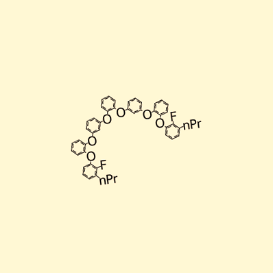 CCCc1cccc(Oc2ccccc2Oc2cccc(Oc3ccccc3Oc3cccc(Oc4ccccc4Oc4cccc(CCC)c4F)c3)c2)c1F